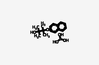 CC(C)(O)C(C)(C)O.OB(O)O.c1ccc2ccccc2c1